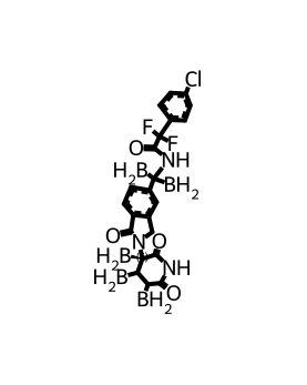 BC1C(=O)NC(=O)[C@@](B)(N2Cc3cc(C(B)(B)NC(=O)C(F)(F)c4ccc(Cl)cc4)ccc3C2=O)C1B